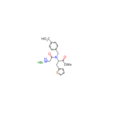 Br.COC(=O)C(Cc1cccs1)N(Cc1ccc(C(=O)O)cc1)C(=O)CN